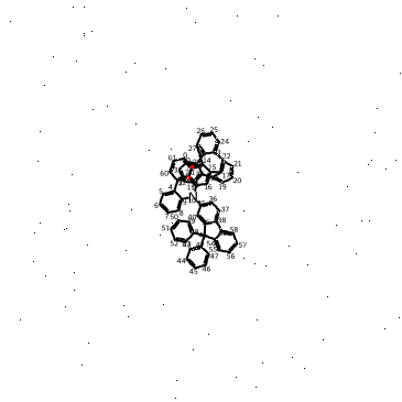 c1ccc(-c2ccccc2N(c2ccc3c(c2)-c2c4cccc2-c2cccc-3c2-c2ccccc2-4)c2ccc3c(c2)C(c2ccccc2)(c2ccccc2)c2ccccc2-3)cc1